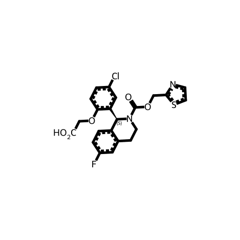 O=C(O)COc1ccc(Cl)cc1[C@@H]1c2ccc(F)cc2CCN1C(=O)OCc1nccs1